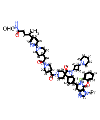 CC(CCC(=O)NC=O)c1ccc(N2CCC(CC(=O)N3CCC(C(=O)N4CCC5(CC4)C(=O)N(C4CC(N6CCCCC6)C4)c4cc(-c6cc7ncn(C(C)C)c7c(Oc7ccccc7F)n6)ccc45)CC3)CC2)nc1